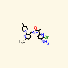 CC1CCN(c2nc(C(F)(F)F)ccc2CNC(=O)C(C)c2ccc(N)c(Br)n2)CC1